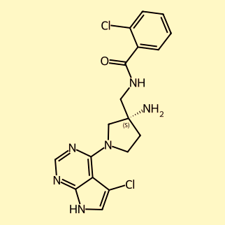 N[C@]1(CNC(=O)c2ccccc2Cl)CCN(c2ncnc3[nH]cc(Cl)c23)C1